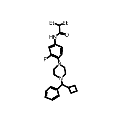 CCC(CC)C(=O)Nc1ccc(N2CCN(C(c3ccccc3)C3CCC3)CC2)c(F)c1